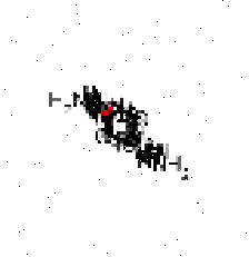 Nc1ncnc2c1ncn2[C@@H]1O[C@@H]2CO[PH](=O)O[C@H]3C[C@H](n4cnc5c(N)ncnc54)O[C@@H]3CO[PH](=O)O[C@@H]1[C@@H]2O